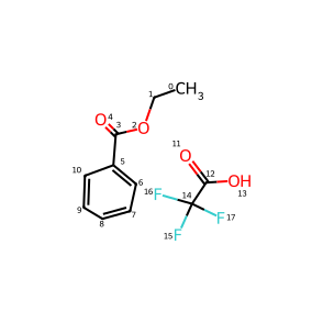 CCOC(=O)c1ccccc1.O=C(O)C(F)(F)F